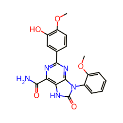 COc1ccc(-c2nc(C(N)=O)c3[nH]c(=O)n(-c4ccccc4OC)c3n2)cc1O